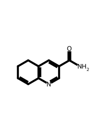 NC(=O)c1cnc2c(c1)CCC=C2